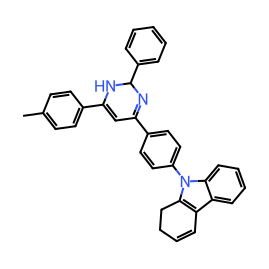 Cc1ccc(C2=CC(c3ccc(-n4c5c(c6ccccc64)C=CCC5)cc3)=NC(c3ccccc3)N2)cc1